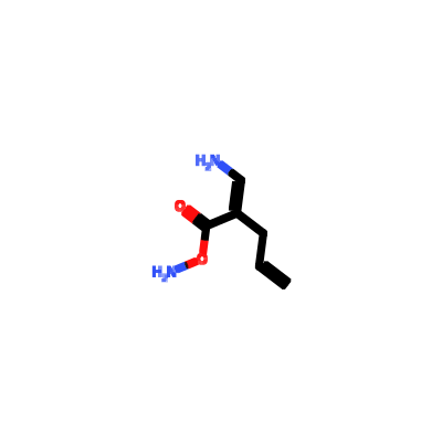 C=CCC(=CN)C(=O)ON